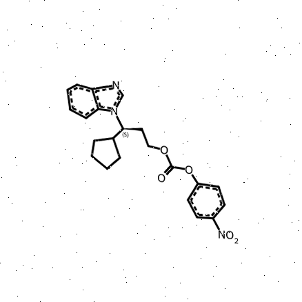 O=C(OCC[C@@H](C1CCCC1)n1cnc2ccccc21)Oc1ccc([N+](=O)[O-])cc1